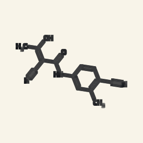 C/C(O)=C(\C#N)C(=O)Nc1ccc(C#N)c(C)c1